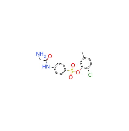 Cc1ccc(Cl)c(OS(=O)(=O)c2ccc(NC(=O)CN)cc2)c1